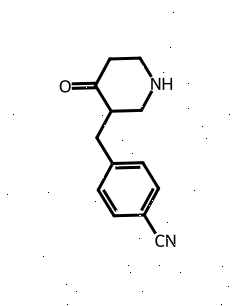 N#Cc1ccc(CC2CNCCC2=O)cc1